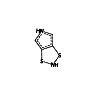 c1[nH]cc2c1SNS2